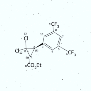 CCOC(=O)[C@H]1[C@H](c2cc(C(F)(F)F)cc(C(F)(F)F)c2)C1(Cl)Cl